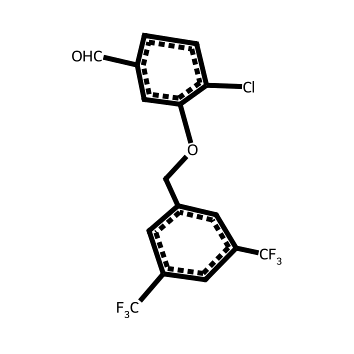 O=Cc1ccc(Cl)c(OCc2cc(C(F)(F)F)cc(C(F)(F)F)c2)c1